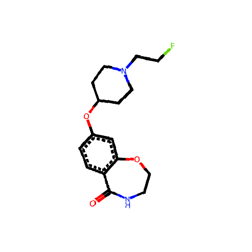 O=C1NCCOc2cc(OC3CCN(CCF)CC3)ccc21